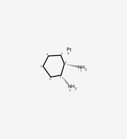 N[C@@H]1CCCC[C@@H]1N.[Pt]